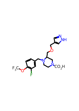 O=C(O)N1CCN(Cc2ccc(OC(F)(F)F)c(F)c2)C(COCc2cn[nH]c2)C1